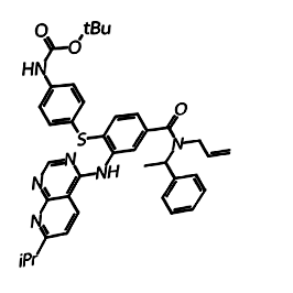 C=CCN(C(=O)c1ccc(Sc2ccc(NC(=O)OC(C)(C)C)cc2)c(Nc2ncnc3nc(C(C)C)ccc23)c1)C(C)c1ccccc1